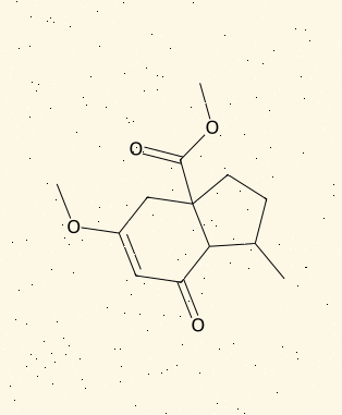 COC(=O)C12CCC(C)C1C(=O)C=C(OC)C2